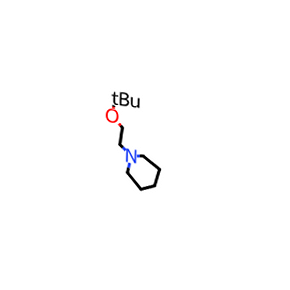 CC(C)(C)OCCN1CCCCC1